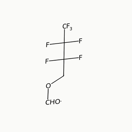 O=[C]OCC(F)(F)C(F)(F)C(F)(F)F